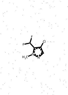 Cn1n[c]c(Cl)c1C(F)F